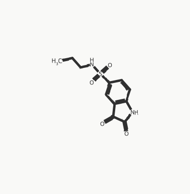 CCCNS(=O)(=O)c1ccc2c(c1)C(=O)C(=O)N2